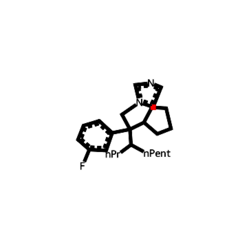 CCCCCC(CCC)C(Cn1ccnc1)(c1cccc(F)c1)C1CCCC1